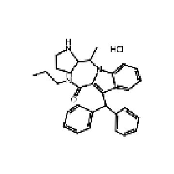 CCCNC(=O)c1c(C(c2ccccc2)c2ccccc2)c2ccccc2n1C(C)C1CCCN1.Cl